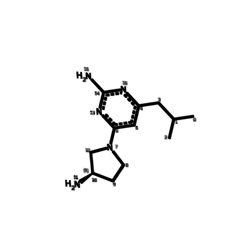 CC(C)Cc1cc(N2CC[C@@H](N)C2)nc(N)n1